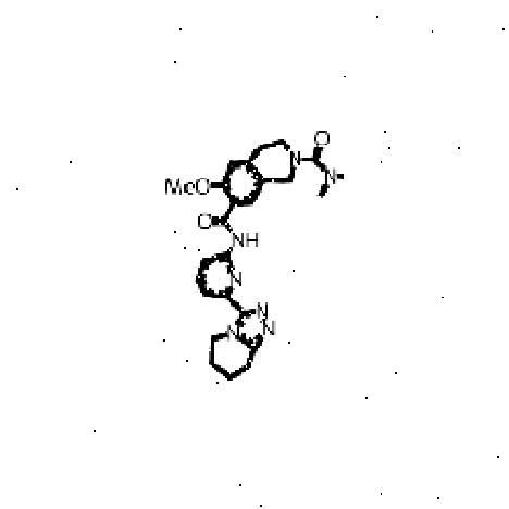 COc1cc2c(cc1C(=O)Nc1cccc(-c3nnc4n3CCCC4)n1)CN(C(=O)N(C)C)CC2